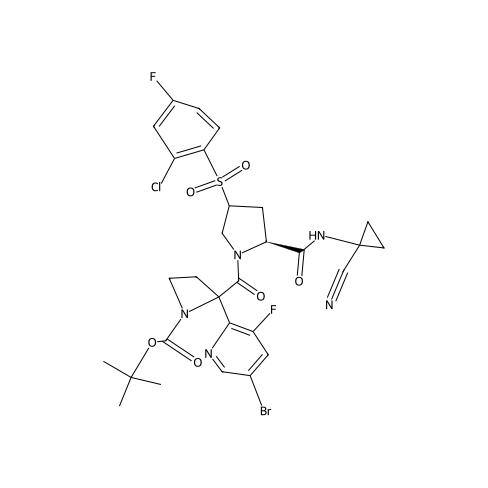 CC(C)(C)OC(=O)N1CCC1(C(=O)N1CC(S(=O)(=O)c2ccc(F)cc2Cl)C[C@H]1C(=O)NC1(C#N)CC1)c1ncc(Br)cc1F